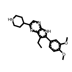 CCc1c(-c2ccc(OC)c(OC)c2)[nH]c2ncc(C3CCNCC3)nc12